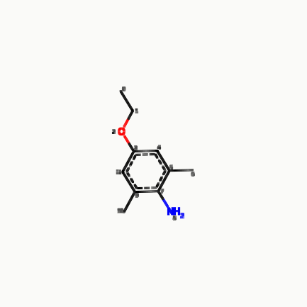 CCOc1cc(C)c(N)c(C)c1